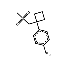 CS(=O)(=O)CC1(c2ccc(N)cc2)CCC1